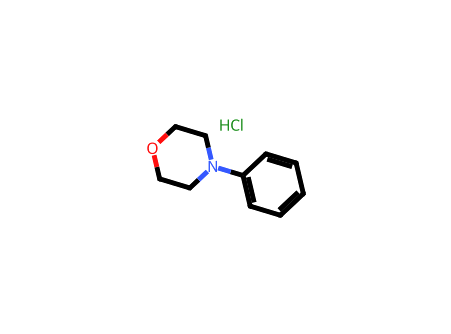 Cl.c1ccc(N2CCOCC2)cc1